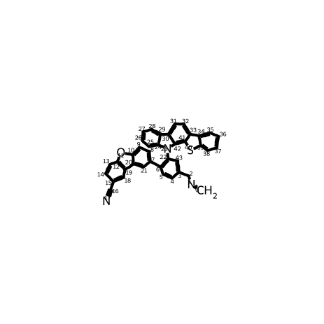 C=NCc1ccc(-c2ccc3oc4ccc(C#N)cc4c3c2)c(-n2c3ccccc3c3ccc4c5ccccc5sc4c32)c1